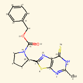 CC(C)(C)c1nc2sc([C@H]3CCCN3C(=O)OCc3ccccc3)nc2c(=S)[nH]1